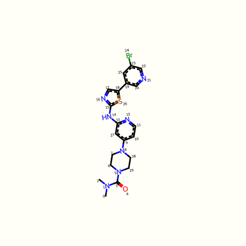 CN(C)C(=O)N1CCN(c2ccnc(Nc3ncc(-c4cncc(Br)c4)s3)c2)CC1